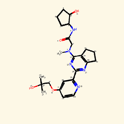 CN(CC(=O)NC1CCCC1O)c1nc(-c2cc(OCC(C)(C)O)ccn2)nc2c1CCC2